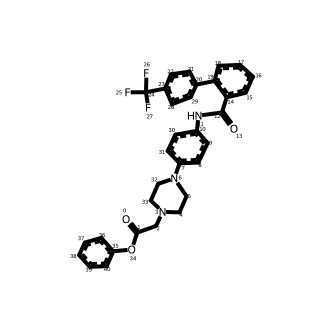 O=C(CN1CCN(c2ccc(NC(=O)c3ccccc3-c3ccc(C(F)(F)F)cc3)cc2)CC1)Oc1ccccc1